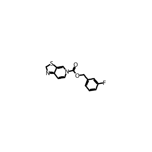 O=C(OCc1cccc(F)c1)N1C=CC2=NCSC2=C1